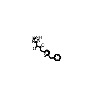 O=C(Cc1ccc(Cc2ccccc2)s1)C(=O)c1nn[nH]n1